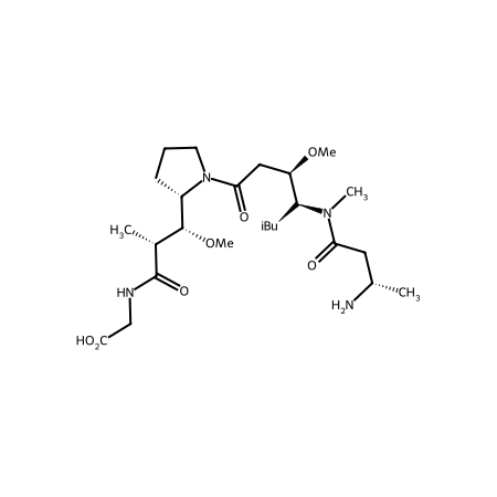 CC[C@H](C)[C@@H]([C@@H](CC(=O)N1CCC[C@H]1[C@H](OC)[C@@H](C)C(=O)NCC(=O)O)OC)N(C)C(=O)C[C@H](C)N